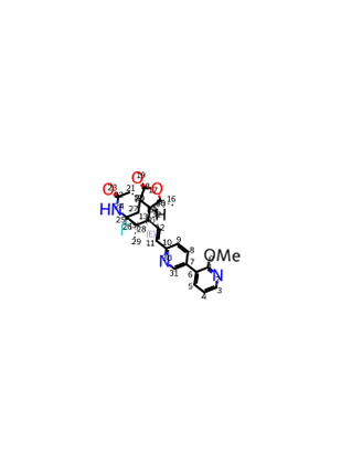 COc1ncccc1-c1ccc(/C=C/[C@@H]2[C@@H]3[C@@H](C)OC(=O)[C@@]34CC(=O)NC(F)(C4)[C@H]2C)nc1